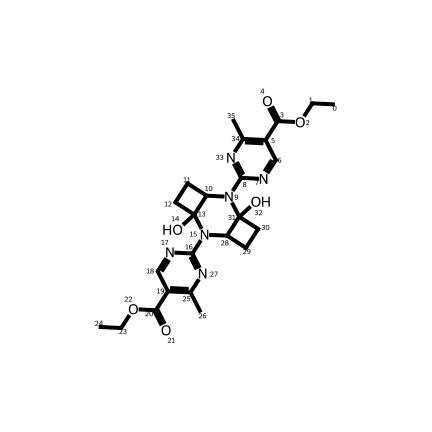 CCOC(=O)c1cnc(N2C3CCC3(O)N(c3ncc(C(=O)OCC)c(C)n3)C3CCC32O)nc1C